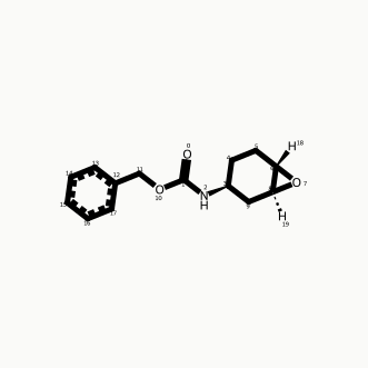 O=C(N[C@H]1CC[C@@H]2O[C@H]2C1)OCc1ccccc1